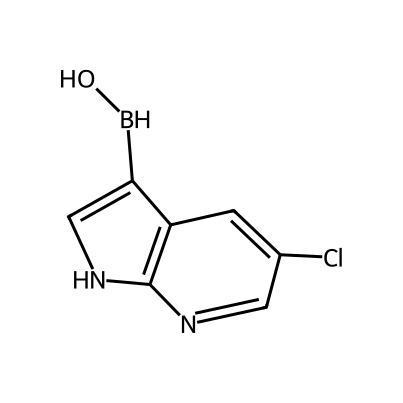 OBc1c[nH]c2ncc(Cl)cc12